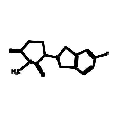 CN1C(=O)CCC(N2Cc3ccc(F)cc3C2)C1=O